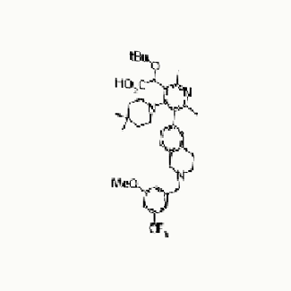 COc1cc(CN2CCc3cc(-c4c(C)nc(C)c(C(OC(C)(C)C)C(=O)O)c4N4CCC(C)(C)CC4)ccc3C2)cc(C(F)(F)F)c1